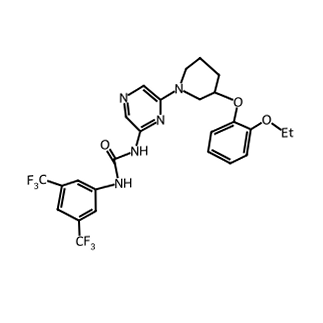 CCOc1ccccc1OC1CCCN(c2cncc(NC(=O)Nc3cc(C(F)(F)F)cc(C(F)(F)F)c3)n2)C1